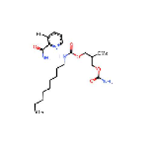 CCCCCCCCCCCCCCCCCCNC(=O)OCC(COC(N)=O)OC.CCc1cccnc1C(N)=O